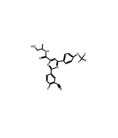 CC(CO)NC(=O)c1cc(-c2ccc(OC(F)(F)F)cc2)nc(-c2ccc(F)c(C#N)c2)n1